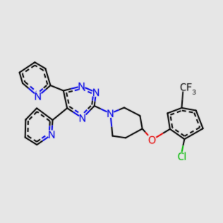 FC(F)(F)c1ccc(Cl)c(OC2CCN(c3nnc(-c4ccccn4)c(-c4ccccn4)n3)CC2)c1